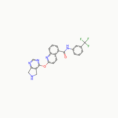 O=C(Nc1cccc(C(F)(F)F)c1)c1cccc2nc(Oc3ncnc4c3CNC4)ccc12